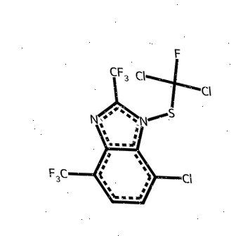 FC(Cl)(Cl)Sn1c(C(F)(F)F)nc2c(C(F)(F)F)ccc(Cl)c21